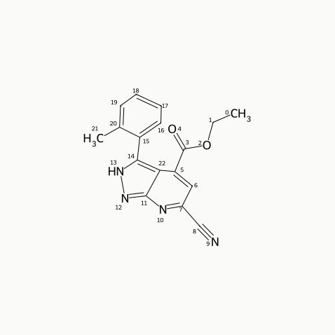 CCOC(=O)c1cc(C#N)nc2n[nH]c(-c3ccccc3C)c12